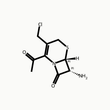 CC(=O)C1=C(CCl)CS[C@@H]2[C@H](N)C(=O)N12